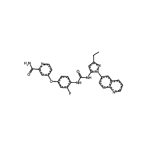 CCc1cc(NC(=O)Nc2ccc(Oc3ccnc(C(N)=O)c3)cc2F)n(-c2ccc3ncccc3c2)n1